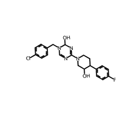 OC1CN(C2=NC(O)N(Cc3ccc(Cl)cc3)C=N2)CCC1c1ccc(F)cc1